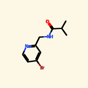 CC(C)C(=O)NCc1cc(Br)ccn1